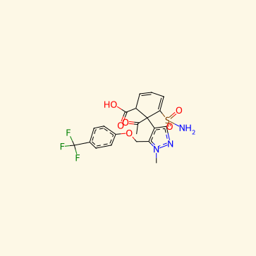 CC(=O)C1(c2cnn(C)c2COc2ccc(C(F)(F)F)cc2)C(S(N)(=O)=O)=CC=CC1C(=O)O